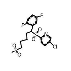 CS(=O)(=O)CCCCC(c1cc(F)ccc1F)S(=O)(=O)c1ccc(Cl)cn1